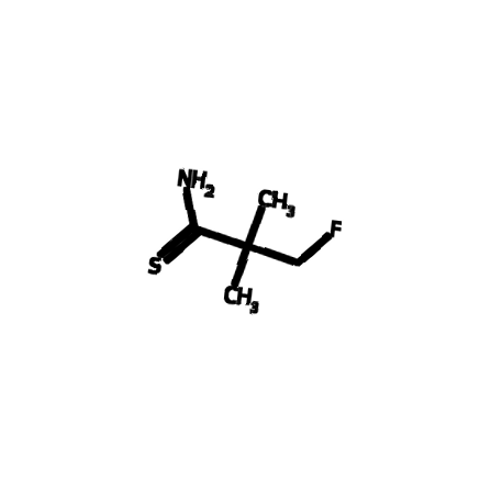 CC(C)(CF)C(N)=S